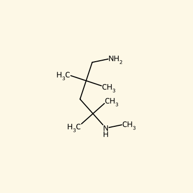 CNC(C)(C)CC(C)(C)CN